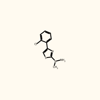 CN(N)c1nc(-c2ccccc2Cl)cs1